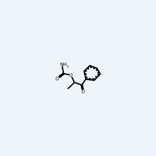 CC(OC(N)=O)C(=O)c1ccccc1